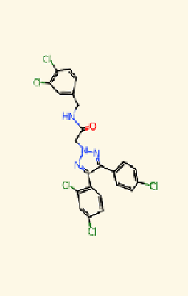 O=C(Cn1nc(-c2ccc(Cl)cc2)c(-c2ccc(Cl)cc2Cl)n1)NCc1ccc(Cl)c(Cl)c1